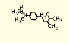 C=C(CCc1ccc(N(C)BC)cc1)C(C)C